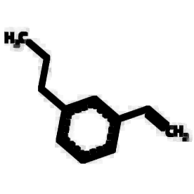 C=Cc1cccc(CCC)c1